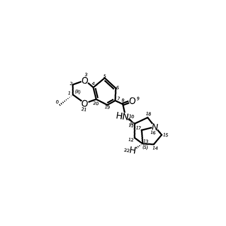 C[C@@H]1COc2ccc(C(=O)N[C@@H]3C[C@@H]4CCN(C4)C3)cc2O1